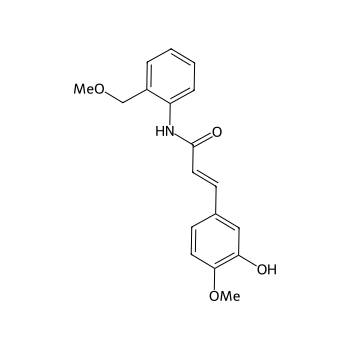 COCc1ccccc1NC(=O)/C=C/c1ccc(OC)c(O)c1